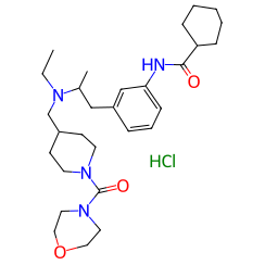 CCN(CC1CCN(C(=O)N2CCOCC2)CC1)C(C)Cc1cccc(NC(=O)C2CCCCC2)c1.Cl